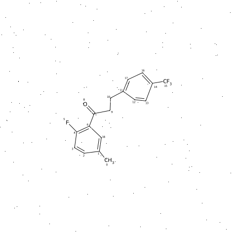 Cc1ccc(F)c(C(=O)CCc2ccc(C(F)(F)F)cc2)c1